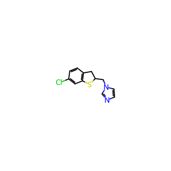 Clc1ccc2c(c1)SC(Cn1ccnc1)C2